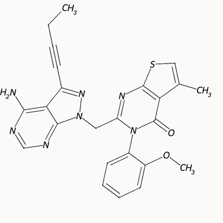 CCC#Cc1nn(Cc2nc3scc(C)c3c(=O)n2-c2ccccc2OC)c2ncnc(N)c12